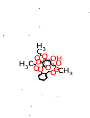 COC(=O)[C@H]1O[C@@H](Oc2ccccc2C=O)[C@H](OC(C)=O)[C@@H](OC(C)=O)[C@@H]1O